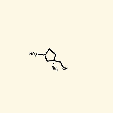 N[C@@]1(CO)CCN(C(=O)O)C1